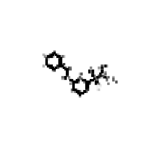 CC(C)N(C)S(=O)(=O)c1cccc(OCc2ccccc2)n1